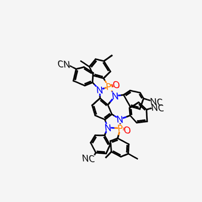 [C-]#[N+]c1ccc(N2c3ccc4c(c3N(c3ccc([N+]#[C-])cc3)P2(=O)c2cc(C)cc(C)c2)N(c2ccc([N+]#[C-])cc2)P(=O)(c2cc(C)cc(C)c2)N4c2ccc(C#N)cc2)cc1